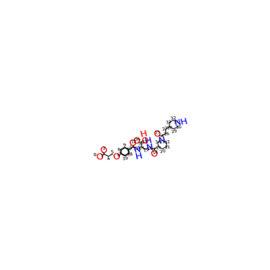 COC(=O)CCOc1ccc(C(=O)N[C@H](CNC(=O)[C@@H]2CCCN(C(=O)CCC3CCNCC3)C2)C(=O)O)cc1